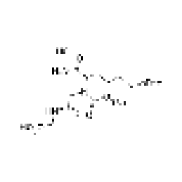 CCCCCCCCCCCCCCC(C(N)=O)N(CC(=O)NCC(=O)O)C(=O)OC(C)(C)C.Cl